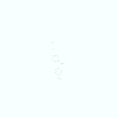 CCC(=C(c1ccc(OC)cc1)c1ccc(OCCN(C)C)cc1)C1CCCC1